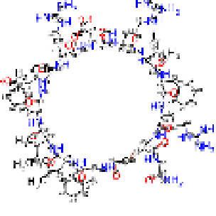 CC[C@H](C)[C@@H]1NC(=O)[C@H](Cc2ccc(O)cc2)NC(=O)[C@H]([C@@H](C)CC)NC(=O)[C@H](CC(C)C)NC(=O)[C@H](Cc2ccccc2)NC(=O)CSC[C@@H](C(=O)NCC(N)=O)NC(=O)[C@H](CCCNC(=N)N)NC(=O)[C@H](Cc2ccccc2)NC(=O)[C@H](C(C)C)NC(=O)[C@H](CCCNC(=N)N)NC(=O)[C@H](CC(=O)O)NC(=O)[C@H](CCCNC(=N)N)NC1=O